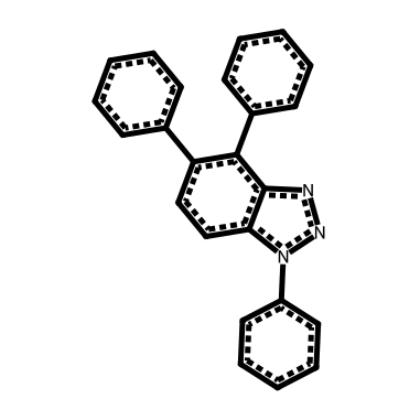 c1ccc(-c2ccc3c(nnn3-c3ccccc3)c2-c2ccccc2)cc1